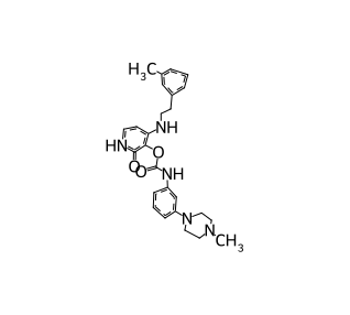 Cc1cccc(CCNc2cc[nH]c(=O)c2OC(=O)Nc2cccc(N3CCN(C)CC3)c2)c1